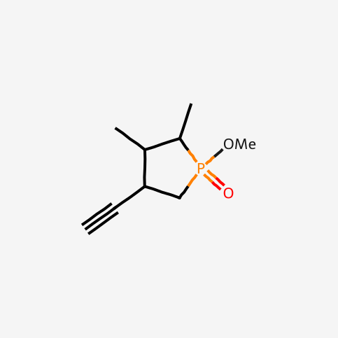 C#CC1CP(=O)(OC)C(C)C1C